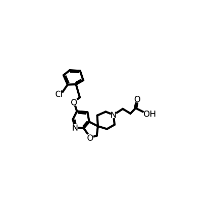 O=C(O)CCN1CCC2(CC1)COc1ncc(OCc3ccccc3Cl)cc12